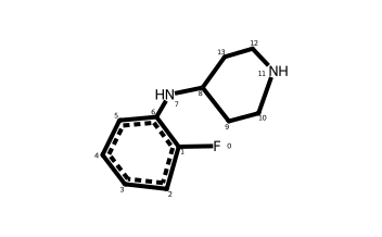 Fc1ccccc1NC1CCNCC1